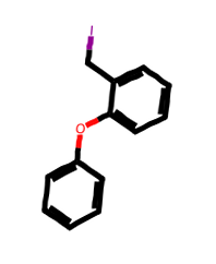 ICc1ccccc1Oc1ccccc1